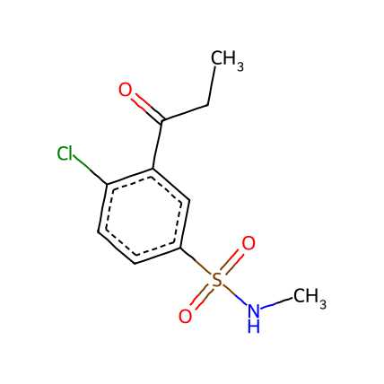 CCC(=O)c1cc(S(=O)(=O)NC)ccc1Cl